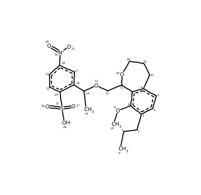 CCCc1ccc2c(c1OC)C(COC(C)c1cc([N+](=O)[O-])ccc1S(=O)(=O)O)OCCC2